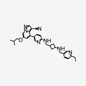 CCc1ccc(CNC2CC(CNc3ccc(-c4cc(OCC(C)C)cn5ncc(C#N)c45)cn3)C2)cn1